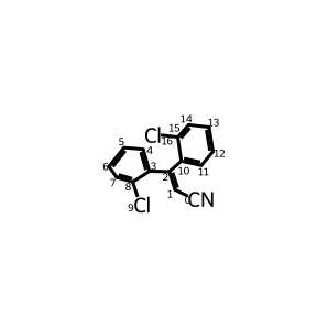 N#CC=C(c1ccccc1Cl)c1ccccc1Cl